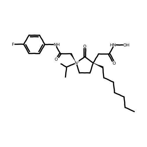 CCCCCCC[C@@]1(CC(=O)NO)CC[N@+](CC(=O)Nc2ccc(F)cc2)(C(C)C)C1=O